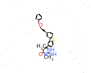 CN1C(=N)N[C@](C)(c2ccc3sc4ccc(C#CCOCc5ccccc5)cc4c3c2)CC1=O